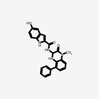 CN1C(=O)C(NC(=O)c2cc3cc(O)ccc3[nH]2)Nc2c(-c3ccccc3)cccc21